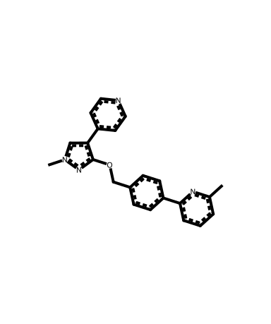 Cc1cccc(-c2ccc(COc3nn(C)cc3-c3ccncc3)cc2)n1